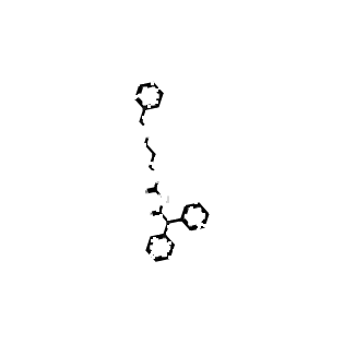 O=C(NC(=O)C(c1ccccc1)c1ccccc1)OCCCOCc1ccccc1